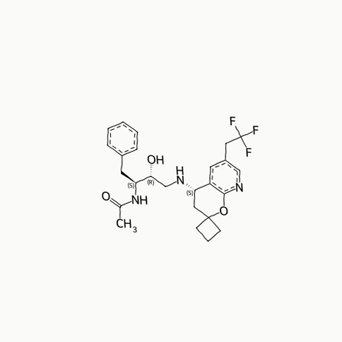 CC(=O)N[C@@H](Cc1ccccc1)[C@H](O)CN[C@H]1CC2(CCC2)Oc2ncc(CC(F)(F)F)cc21